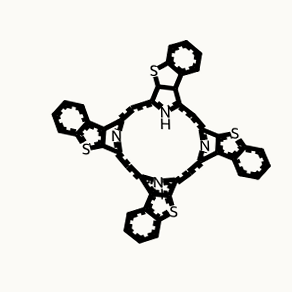 c1ccc2c(c1)SC1c3cc4nc(cc5[nH]c(cc6nc(cc([nH]3)C21)-c1sc2ccccc2c1-6)c1sc2ccccc2c51)-c1sc2ccccc2c1-4